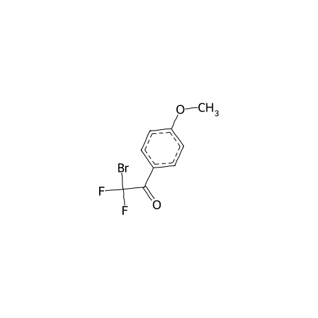 COc1ccc(C(=O)C(F)(F)Br)cc1